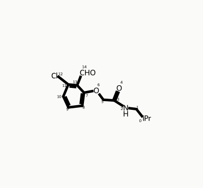 CC(C)CNC(=O)COc1cccc(Cl)c1C=O